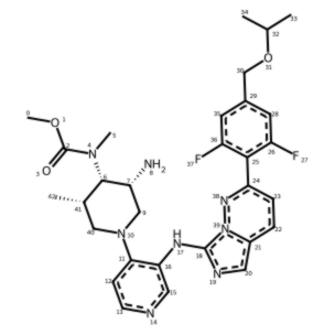 COC(=O)N(C)[C@@H]1[C@H](N)CN(c2ccncc2Nc2ncc3ccc(-c4c(F)cc(COC(C)C)cc4F)nn23)C[C@@H]1C